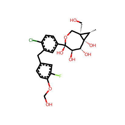 C[C@H]1[C@]2(CO)CO[C@@](O)(c3ccc(Cl)c(Cc4ccc(OCO)c(F)c4)c3)[C@H](O)[C@@H](O)[C@]12O